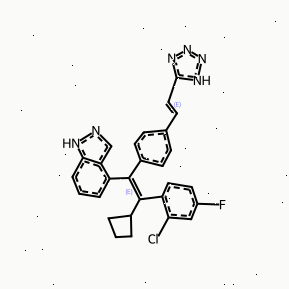 Fc1ccc(/C(=C(\c2ccc(/C=C/c3nnn[nH]3)cc2)c2cccc3[nH]ncc23)C2CCC2)c(Cl)c1